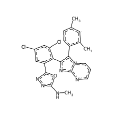 CNc1nnc(-c2cc(Cl)cc(Cl)c2-c2nc3ncccn3c2-c2ccc(C)[c]c2C)o1